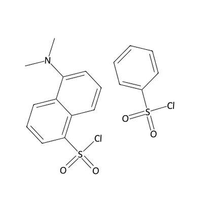 CN(C)c1cccc2c(S(=O)(=O)Cl)cccc12.O=S(=O)(Cl)c1ccccc1